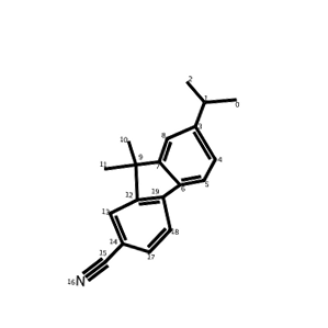 CC(C)c1ccc2c(c1)C(C)(C)c1cc(C#N)ccc1-2